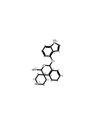 CCCC1OC(Oc2cccc3[nH]ccc23)C2=C(CCC=C2)C12CCNCC2